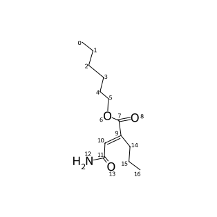 CCCCCCOC(=O)C(=CC(N)=O)CCC